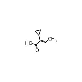 C/C=C(/C(=O)O)C1CC1